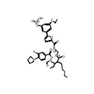 CCCCCC(C(=O)NCNC(=O)c1ccc(-c2cc(OCC)cc(O[PH](=O)O)c2)o1)C(CC)N(C=O)OC(=O)c1ccc(N2CCCC2)c(F)c1